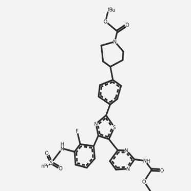 CCCS(=O)(=O)Nc1cccc(-c2nc(-c3ccc(C4CCN(C(=O)OC(C)(C)C)CC4)cc3)sc2-c2ccnc(NC(=O)OC(C)(C)C)n2)c1F